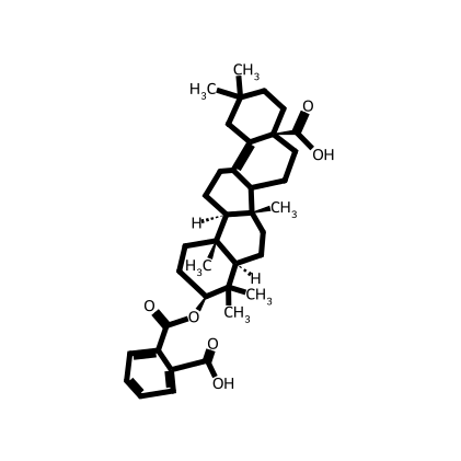 CC1(C)CC[C@]2(C(=O)O)CCC3C(=C2C1)CC[C@@H]1[C@@]2(C)CC[C@H](OC(=O)c4ccccc4C(=O)O)C(C)(C)[C@@H]2CC[C@@]31C